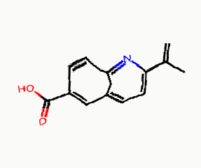 C=C(C)c1ccc2cc(C(=O)O)ccc2n1